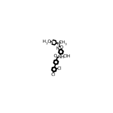 CN1CCC(N(C)c2nc3cc(NC(=O)c4ccc(-c5ccc(Cl)cc5Cl)cc4)ccc3o2)CC1.Cl